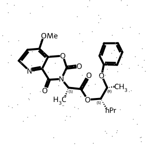 CCC[C@H](OC(=O)[C@H](C)n1c(=O)oc2c(OC)ccnc2c1=O)[C@@H](C)Oc1ccccc1